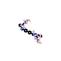 COC(=O)NCC(=O)N(Cc1ncc(-c2ccc(-c3ccc(-c4cnc([C@@H]5CCCN5C(=O)CNC(=O)OC)[nH]4)cc3)cc2)[nH]1)CC1(C)OCCO1